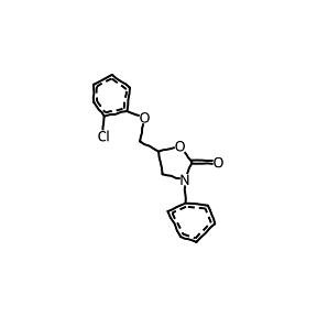 O=C1OC(COc2ccccc2Cl)CN1c1ccccc1